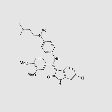 COc1ccc(C(Nc2ccc(N(CCN(C)C)C(C)=O)cc2)=C2C(=O)Nc3cc(Cl)ccc32)cc1OC